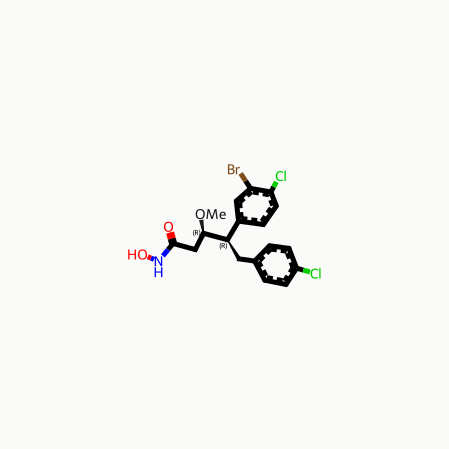 CO[C@H](CC(=O)NO)[C@H](Cc1ccc(Cl)cc1)c1ccc(Cl)c(Br)c1